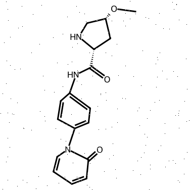 CO[C@H]1CN[C@@H](C(=O)Nc2ccc(-n3ccccc3=O)cc2)C1